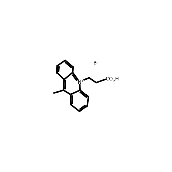 Cc1c2ccccc2[n+](CCC(=O)O)c2ccccc12.[Br-]